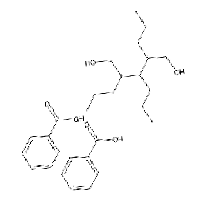 CCCC(CO)C(CCC)C(CO)CCC.O=C(O)c1ccccc1.O=C(O)c1ccccc1